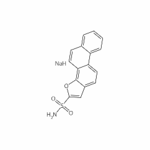 NS(=O)(=O)c1cc2ccc3c4ccccc4ccc3c2o1.[NaH]